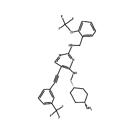 N[C@H]1CC[C@H](CNc2nc(NCc3ccccc3OC(F)(F)F)ncc2C#Cc2cccc(C(F)(F)F)c2)CC1